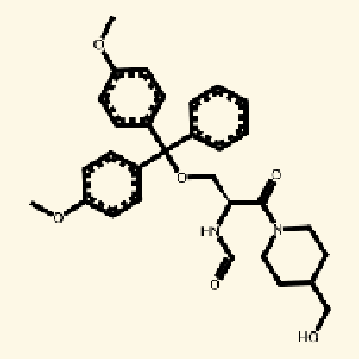 COc1ccc(C(OC[C@H](NC=O)C(=O)N2CCC(CO)CC2)(c2ccccc2)c2ccc(OC)cc2)cc1